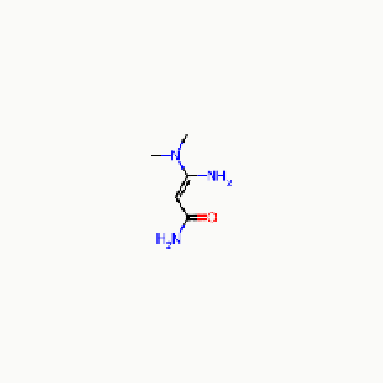 CN(C)C(N)=CC(N)=O